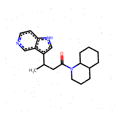 CC(CC(=O)N1CCCC2CCCCC21)c1c[nH]c2ccncc12